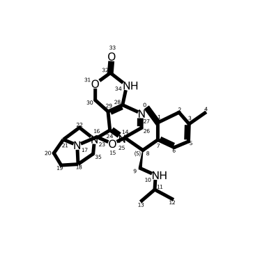 C=C1CC(C)=CC=C1[C@@H](CNC(C)C)COCN1C2CCC1CN(c1ncnc3c1COC(=O)N3)C2